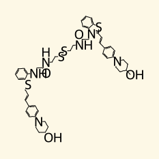 O=C(CNc1ccccc1SC/C=C/c1ccc(N2CCC(O)CC2)cc1)NCCSSCCNC(=O)C[n+]1c(/C=C/c2ccc(N3CCC(O)CC3)cc2)sc2ccccc21